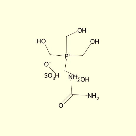 NC(N)=O.O=S(=O)([O-])O.OC[P+](CO)(CO)CO